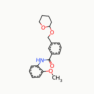 COc1ccccc1NC(=O)c1cccc(COC2CCCCO2)c1